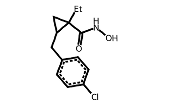 CCC1(C(=O)NO)CC1Cc1ccc(Cl)cc1